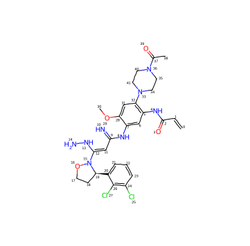 C=CC(=O)Nc1cc(NC(=N)/C=C(\NN)N2OCC[C@@H]2c2cccc(Cl)c2Cl)c(OC)cc1N1CCN(C(C)=O)CC1